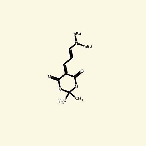 CCCCN(/C=C/C=C1C(=O)OC(C)(C)OC1=O)CCCC